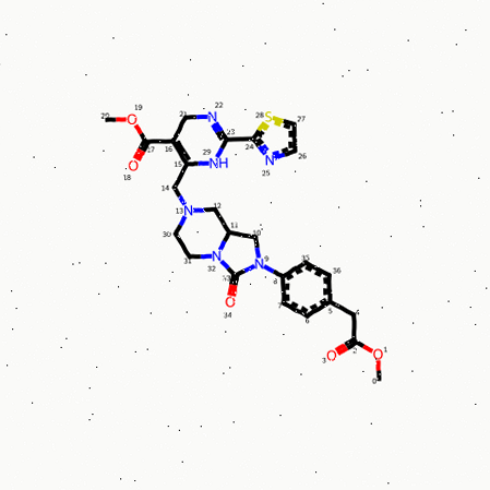 COC(=O)Cc1ccc(N2CC3CN(CC4=C(C(=O)OC)CN=C(c5nccs5)N4)CCN3C2=O)cc1